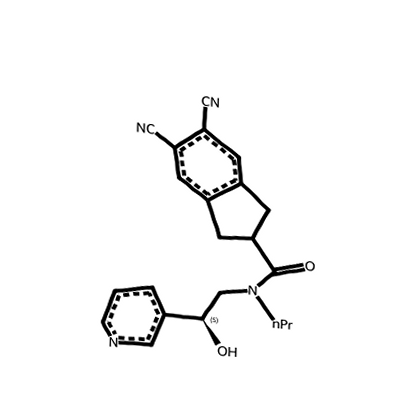 CCCN(C[C@@H](O)c1cccnc1)C(=O)C1Cc2cc(C#N)c(C#N)cc2C1